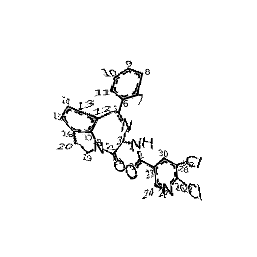 O=C(N[C@@H]1N=C(c2ccccc2)c2cccc3c2N(CC3)C1=O)c1cnc(Cl)c(Cl)c1